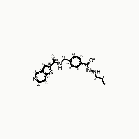 CCCNNC(=O)c1ccc(CNC(=O)c2cc3cnccc3s2)cc1